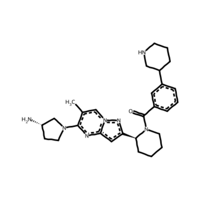 Cc1cn2nc([C@@H]3CCCCN3C(=O)c3cccc(C4CCCNC4)c3)cc2nc1N1CC[C@H](N)C1